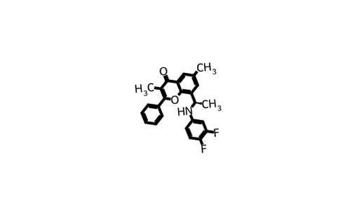 Cc1cc([C@@H](C)Nc2ccc(F)c(F)c2)c2oc(-c3ccccc3)c(C)c(=O)c2c1